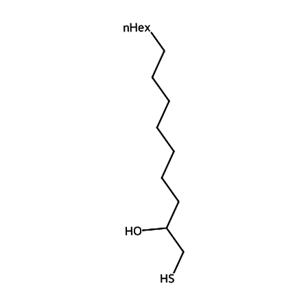 CCCCCCCCCCCCCC(O)CS